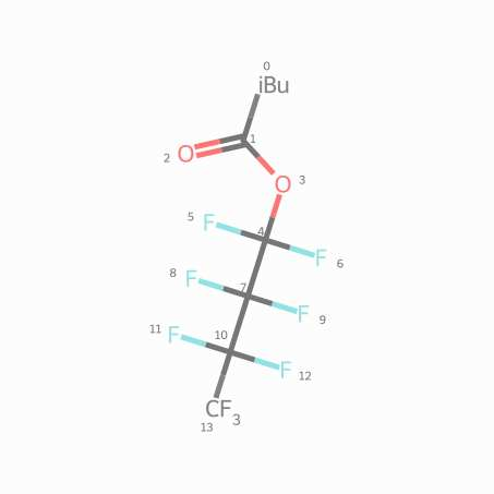 CCC(C)C(=O)OC(F)(F)C(F)(F)C(F)(F)C(F)(F)F